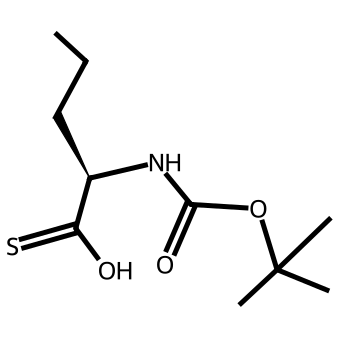 CCC[C@@H](NC(=O)OC(C)(C)C)C(O)=S